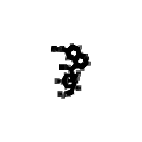 C=C[C@H]1C[C@H]2CCN1[C@@H]([C@@H](O)c1ccnc3ccc(OC)cc13)C2